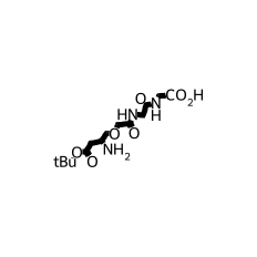 CC(C)(C)OC(=O)CC(N)COCC(=O)NCC(=O)NCC(=O)O